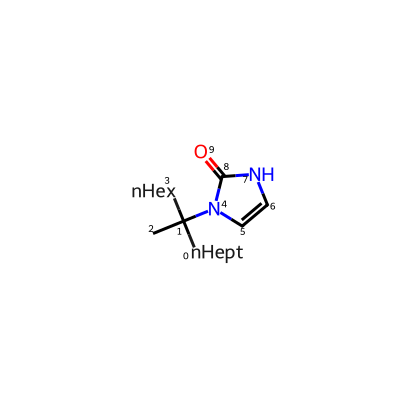 CCCCCCCC(C)(CCCCCC)n1cc[nH]c1=O